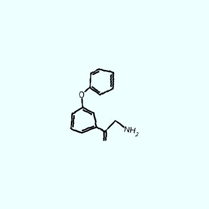 C=C(CN)c1cccc(Oc2ccccc2)c1